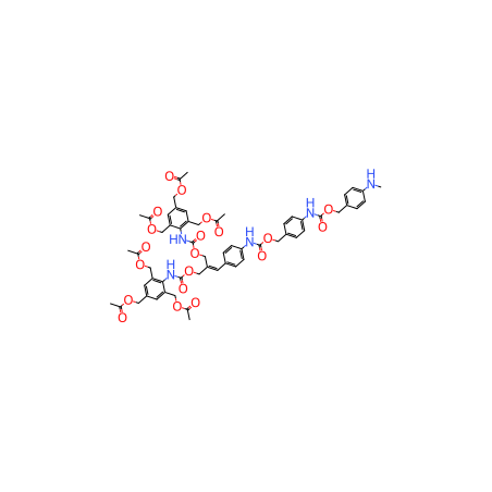 CNc1ccc(COC(=O)Nc2ccc(COC(=O)Nc3ccc(C=C(COC(=O)Nc4c(COC(C)=O)cc(COC(C)=O)cc4COC(C)=O)COC(=O)Nc4c(COC(C)=O)cc(COC(C)=O)cc4COC(C)=O)cc3)cc2)cc1